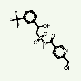 O=C(NS(=O)(=O)CC(O)c1cccc(C(F)(F)F)c1)c1ccc(CO)nc1